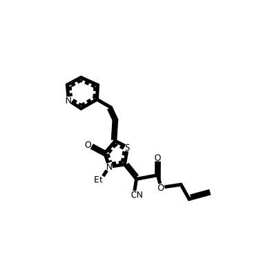 C=CCOC(=O)/C(C#N)=c1\sc(=C=Cc2cccnc2)c(=O)n1CC